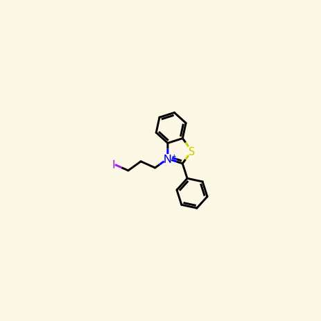 ICCC[n+]1c(-c2ccccc2)sc2ccccc21